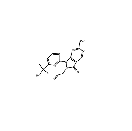 C=CCn1c(=O)c2cnc(SC)nc2n1-c1cccc(C(C)(C)O)n1